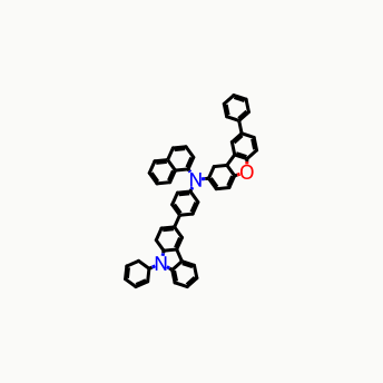 C1=CCC(N2c3ccccc3C3=CC(c4ccc(N(C5=CC=C6Oc7ccc(-c8ccccc8)cc7C6C5)c5cccc6ccccc56)cc4)=CCC32)C=C1